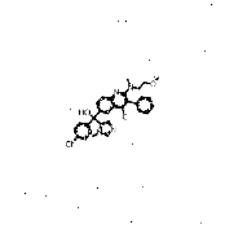 COCCN(C)c1nc2ccc(C(O)(c3ccc(Cl)cc3)c3cncn3C)cc2c(Cl)c1-c1ccccc1